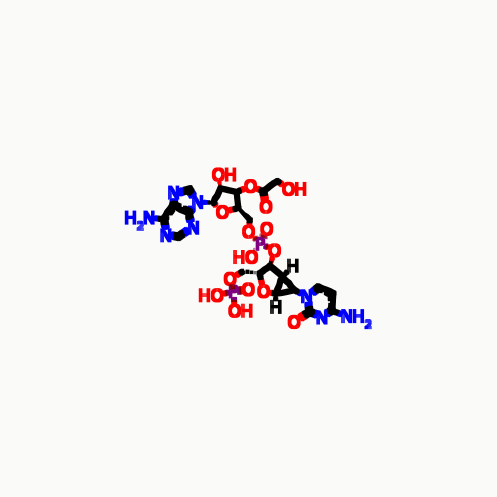 Nc1ccn(C2[C@H]3[C@H](OP(=O)(O)OC[C@H]4O[C@@H](n5cnc6c(N)ncnc65)[C@H](O)C4OC(=O)CO)[C@@H](COP(=O)(O)O)O[C@@H]23)c(=O)n1